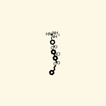 Cl.N=C(N)NC[C@H]1CC[C@H](C(=O)Oc2ccc(-c3ccc(C(=O)OCCCc4ccccc4)cc3)cc2)CC1